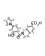 O=C(O)c1ccc2c(c1)CN(C(=O)c1ccc(-n3cccc3)cc1O)CC2